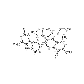 CNc1cc(F)c(F)c2c1[nH]c1ncc(-c3cnc4c(c3)c(=O)c(C(=O)O)cn4C)c(N3CCC4CN(CCOC)CC43)c12